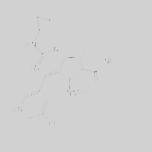 CNc1c(C(N)=O)sc2nc(NC3CC3)nc(-c3cncc(Cl)c3)c12